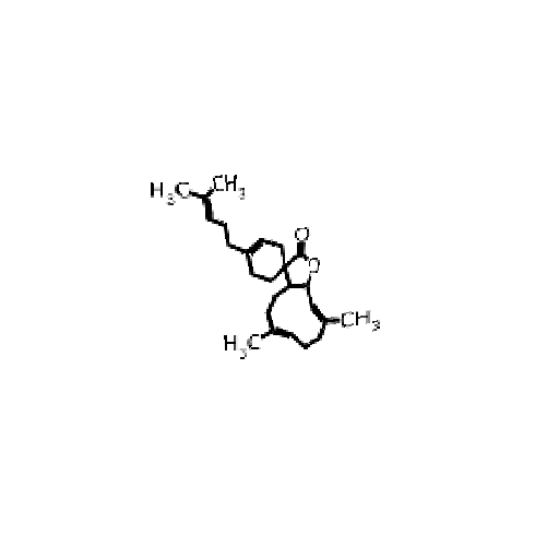 CC(C)=CCCC1=CC[C@@]2(CC1)C(=O)OC1/C=C(\C)CC/C=C(\C)CCC12